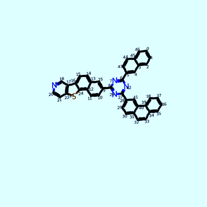 c1ccc2cc(-c3nc(-c4ccc5c(ccc6c7cnccc7sc56)c4)nc(-c4ccc5ccc6ccccc6c5c4)n3)ccc2c1